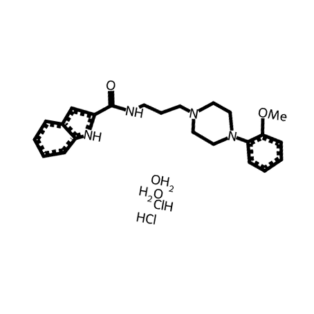 COc1ccccc1N1CCN(CCCNC(=O)c2cc3ccccc3[nH]2)CC1.Cl.Cl.O.O